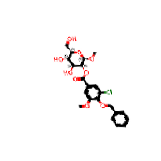 COc1cc(C(=O)O[C@H]2[C@@H](OC)O[C@H](CO)[C@@H](O)[C@@H]2O)cc(Cl)c1OCc1ccccc1